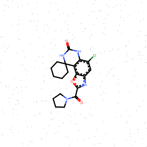 O=C1Nc2c(Cl)cc3nc(C(=O)N4CCCC4)oc3c2C2(CCCCC2)N1